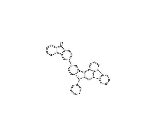 c1ccc(-n2c3ccc(-c4ccc5[nH]c6ccccc6c5c4)cc3c3c4cccc5c4c(cc32)-c2ccccc2-5)cc1